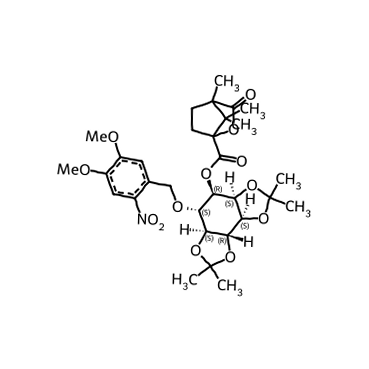 COc1cc(CO[C@@H]2[C@@H](OC(=O)C34CCC(C)(C(=O)O3)C4(C)C)[C@H]3OC(C)(C)O[C@H]3[C@@H]3OC(C)(C)O[C@@H]23)c([N+](=O)[O-])cc1OC